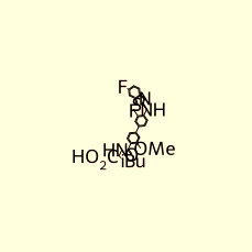 CC[C@H](C)[C@H](NC(=O)c1ccc(-c2ccc(Nc3nc4ccc(F)cc4s3)c(F)c2)cc1OC)C(=O)O